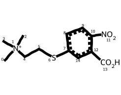 C[N+](C)(C)CCSc1ccc([N+](=O)[O-])c(C(=O)O)c1